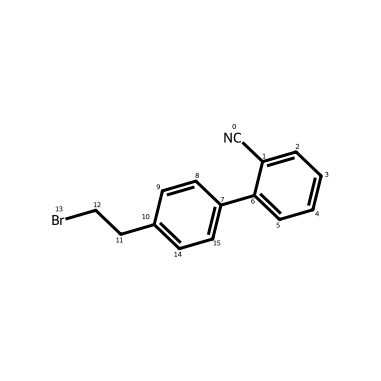 N#Cc1ccccc1-c1ccc(CCBr)cc1